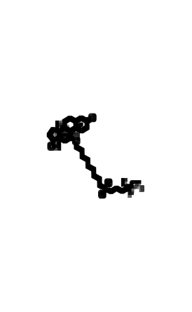 C[C@]12CCC(=O)CC1CC[C@@H]1[C@H]2C(OCCCCCCCCCS(=O)(=O)CCCC(F)(F)C(F)(F)F)C[C@]2(C)C(O)CC[C@@H]12